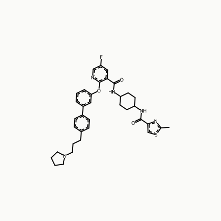 Cc1nc(C(=O)NC2CCC(NC(=O)c3cc(F)cnc3Oc3cccc(-c4ccc(CCCN5CCCC5)cc4)c3)CC2)cs1